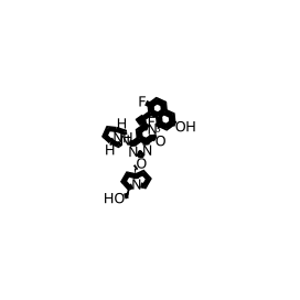 C#Cc1c(F)ccc2cc(O)cc(-n3c(C(F)(F)F)cc4c(N5C[C@H]6CC[C@@H](C5)N6)nc(OC[C@]56CCCN5[C@@H](CO)CC6)nc4c3=O)c12